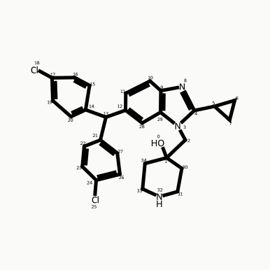 OC1(Cn2c(C3CC3)nc3ccc(C(c4ccc(Cl)cc4)c4ccc(Cl)cc4)cc32)CCNCC1